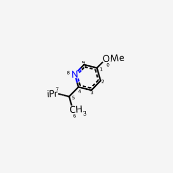 COc1ccc(C(C)C(C)C)nc1